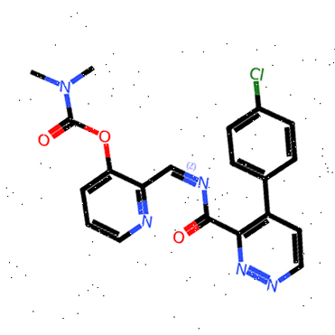 CN(C)C(=O)Oc1cccnc1/C=N\C(=O)c1nnccc1-c1ccc(Cl)cc1